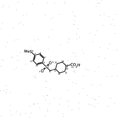 CSc1ccc(S(=O)(=O)CC2CCN(C(=O)O)CC2)cc1